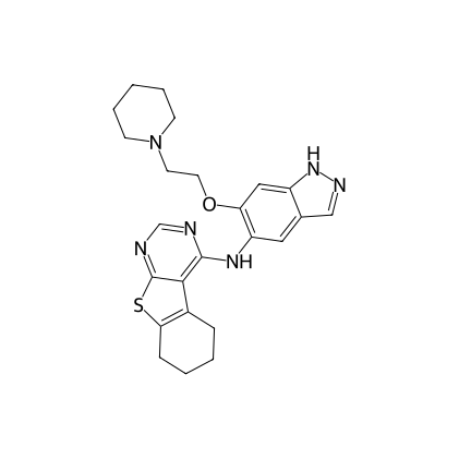 c1nc(Nc2cc3cn[nH]c3cc2OCCN2CCCCC2)c2c3c(sc2n1)CCCC3